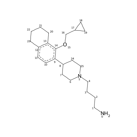 NCCCCN1CCC(c2ccc3c(c2OCC2CC2)CCCC3)CC1